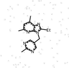 CCc1nc2c(C)cc(C)nc2n1Cc1cnc(C)nc1